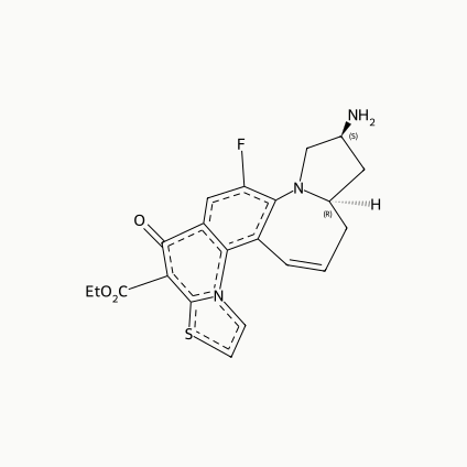 CCOC(=O)c1c(=O)c2cc(F)c3c(c2n2ccsc12)C=CC[C@@H]1C[C@H](N)CN31